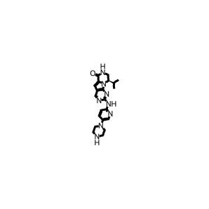 CC(C)[C@@H]1CNC(=O)c2cc3cnc(Nc4ccc(N5CCNCC5)cn4)nc3n21